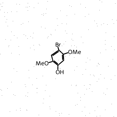 COc1cc(Br)c(OC)cc1O